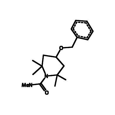 CNC(=O)N1C(C)(C)CC(OCc2ccccc2)CC1(C)C